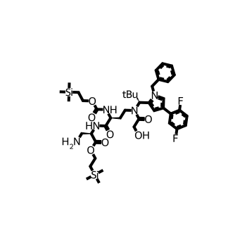 CC(C)(C)[C@H](c1cc(-c2cc(F)ccc2F)cn1Cc1ccccc1)N(CC[C@H](NC(=O)OCC[Si](C)(C)C)C(=O)N[C@H](CN)C(=O)OCC[Si](C)(C)C)C(=O)CO